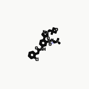 CN(C)/C=N/S(=O)(=O)c1cc(NC(=O)Cc2ccccc2Cl)ccc1-c1cnn(CC2(C)COC2)c1